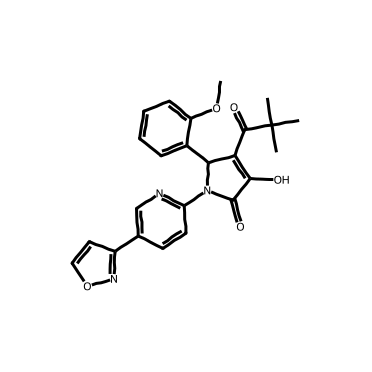 COc1ccccc1C1C(C(=O)C(C)(C)C)=C(O)C(=O)N1c1ccc(-c2ccon2)cn1